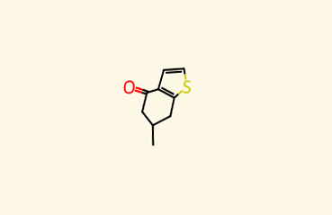 CC1CC(=O)c2ccsc2C1